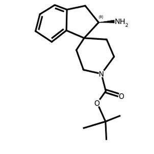 CC(C)(C)OC(=O)N1CCC2(CC1)c1ccccc1C[C@H]2N